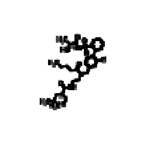 CCCCC(=O)N(CCNC(=O)[C@@H](CS)CC(C)C)Cc1ccc(-c2ccccc2S(=O)(=O)NC(=O)[C@H](C)O)c(Cl)c1